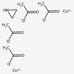 C1CN1.CC(=O)[O-].CC(=O)[O-].CC(=O)[O-].CC(=O)[O-].[Cu+2].[Cu+2]